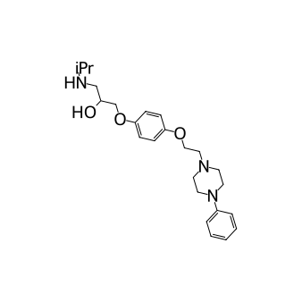 CC(C)NCC(O)COc1ccc(OCCN2CCN(c3ccccc3)CC2)cc1